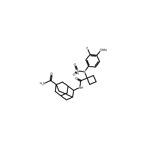 COc1ccc(N([SH](=O)=O)C2(C(=O)NC3C4CC5CC3CC(C(N)=O)(C5)C4)CCC2)cc1F